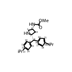 COC(=O)N[C@H]1CN[C@@H](C(c2ccc(C(C)C)cc2)c2ccc(C(C)C)cc2)C1